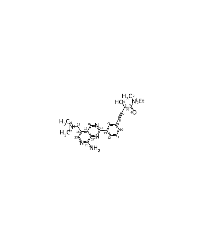 CCN(C)C(=O)[C@H](O)C#Cc1cccc(-c2ncc3c(CN(C)C)cnc(N)c3n2)c1